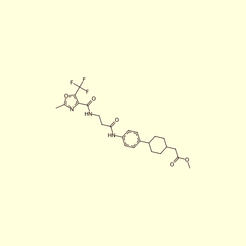 COC(=O)CC1CCC(c2ccc(NC(=O)CCNC(=O)c3nc(C)oc3C(F)(F)F)cc2)CC1